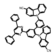 N#Cc1ccc2c(c1)c1ccccc1n2-c1cccc(-c2cc(-c3nc(-c4ccccc4)cc(-c4ccccc4)n3)ccc2-n2c3ccccc3c3cc(C#N)ccc32)c1